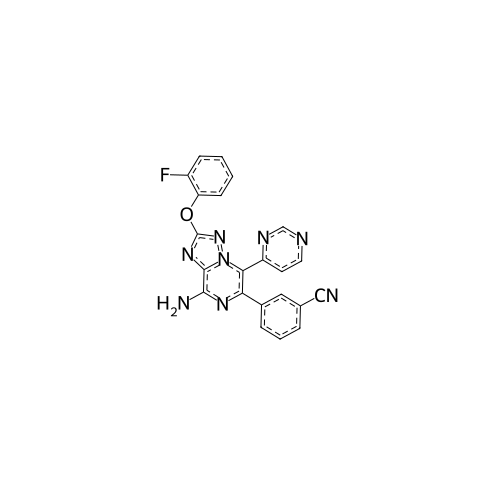 N#Cc1cccc(-c2nc(N)c3nc(Oc4ccccc4F)nn3c2-c2ccncn2)c1